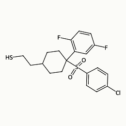 O=S(=O)(c1ccc(Cl)cc1)C1(c2cc(F)ccc2F)CCC(CCS)CC1